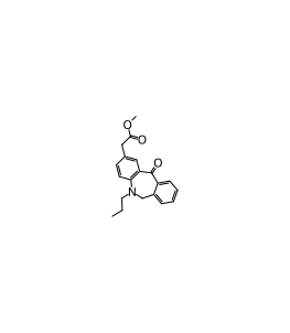 CCCN1Cc2ccccc2C(=O)c2cc(CC(=O)OC)ccc21